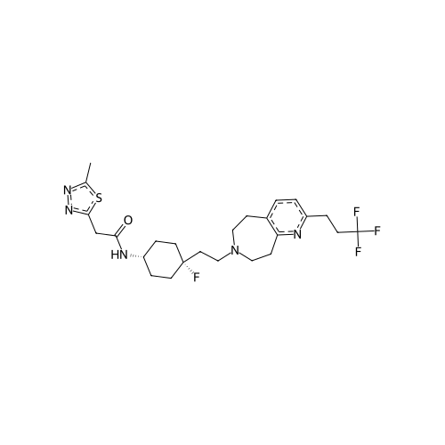 Cc1nnc(CC(=O)N[C@H]2CC[C@](F)(CCN3CCc4ccc(CCC(F)(F)F)nc4CC3)CC2)s1